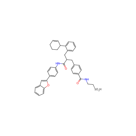 O=C(NCCS(=O)(=O)O)c1ccc(CC(Cc2ccccc2C2C=CCCC2)C(=O)Nc2ccc(-c3cc4ccccc4o3)cc2)cc1